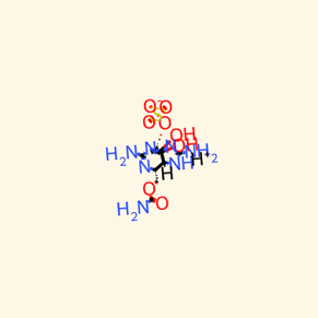 NC(=O)OC[C@@H]1N=C(N)N2C[C@H](OS(=O)(=O)[O-])C(O)(O)[C@@]23N=C(N)N[C@@H]13.[H+]